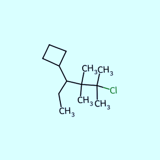 CCC(C1CCC1)C(C)(C)C(C)(C)Cl